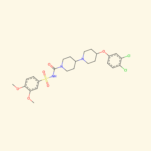 COc1ccc(S(=O)(=O)NC(=O)N2CCC(N3CCC(Oc4ccc(Cl)c(Cl)c4)CC3)CC2)cc1OC